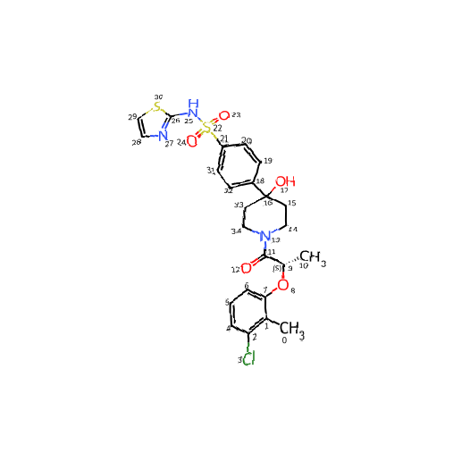 Cc1c(Cl)cccc1O[C@@H](C)C(=O)N1CCC(O)(c2ccc(S(=O)(=O)Nc3nccs3)cc2)CC1